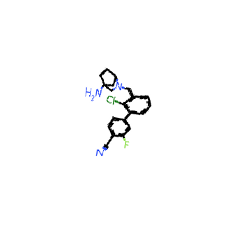 N#Cc1ccc(-c2cccc(CN3CC4(N)CCC3C4)c2Cl)cc1F